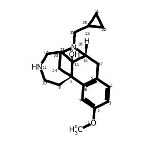 COc1ccc2c(c1)[C@@]13CCNCC[C@@]1(O)[C@@H](C2)N(CC1CC1)CC3